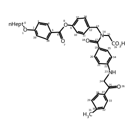 CCCCCCCOc1ccc(C(=O)Oc2ccc(CN(CC(=O)O)C(=O)c3ccc(NCC(=O)c4ccc(C)cc4)cc3)cc2)cc1